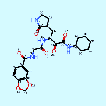 O=C(CNC(=O)c1ccc2c(c1)OCO2)N[C@@H](C[C@@H]1CCNC1=O)C(=O)C(=O)NC1CCCCC1